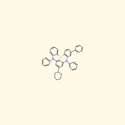 c1ccc(-c2ccc3c(c2)N(c2ccccc2)c2cc(C4CCCCC4)cc4c2B3c2ccccc2N4c2ccccc2)cc1